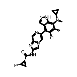 CN(c1c(F)c(Cl)c(-c2cn3cc(NC(=O)[C@H]4C[C@H]4F)nc3cn2)c2cn[nH]c12)C1CC1